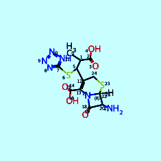 CC(C(=O)O)C(Sc1nnn[nH]1)C1=C(C(=O)O)N2C(=O)C(N)[C@H]2SC1